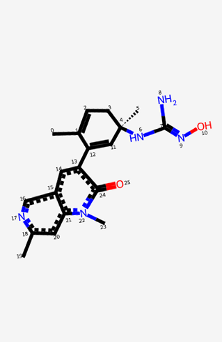 CC1=CC[C@@](C)(N/C(N)=N/O)C=C1c1cc2cnc(C)cc2n(C)c1=O